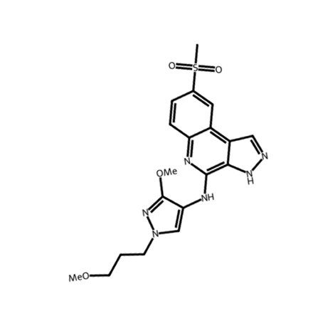 COCCCn1cc(Nc2nc3ccc(S(C)(=O)=O)cc3c3cn[nH]c23)c(OC)n1